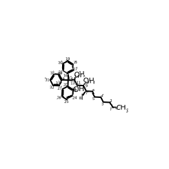 CCCCCCCC(I)[C@H](O)C(O)C(O)C(c1ccccc1)(c1ccccc1)c1ccccc1